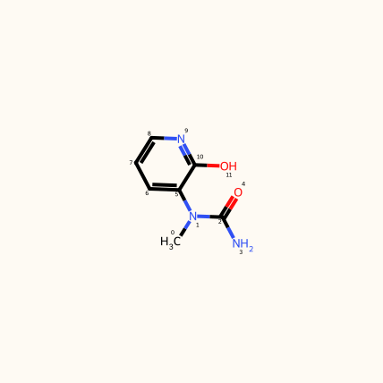 CN(C(N)=O)c1cccnc1O